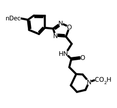 CCCCCCCCCCc1ccc(-c2noc(CNC(=O)CC3CCCN(C(=O)O)C3)n2)cc1